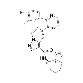 Cc1cc(-c2ncccc2-c2ccn3ncc(C(=O)N[C@@H]4CCCC[C@H]4N)c3c2)ccc1F